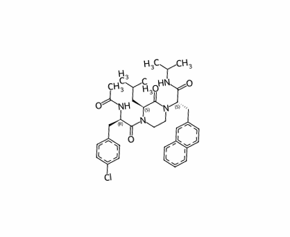 CC(=O)N[C@H](Cc1ccc(Cl)cc1)C(=O)N1CCN([C@@H](Cc2ccc3ccccc3c2)C(=O)NC(C)C)C(=O)[C@@H]1CC(C)C